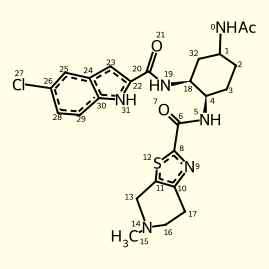 CC(=O)NC1CC[C@@H](NC(=O)c2nc3c(s2)CN(C)CC3)[C@@H](NC(=O)c2cc3cc(Cl)ccc3[nH]2)C1